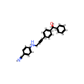 N#Cc1ccc(NCC#Cc2ccc(C(=O)c3ccccc3)cc2)cc1